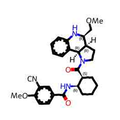 [C-]#[N+]c1cc(C(=O)N[C@@H]2CCCC[C@@H]2C(=O)N2CC[C@@H]3[C@H](COC)Nc4ccccc4[C@@H]32)ccc1OC